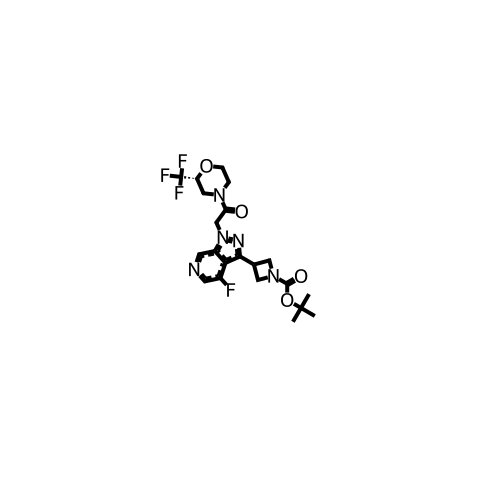 CC(C)(C)OC(=O)N1CC(c2nn(CC(=O)N3CCO[C@@H](C(F)(F)F)C3)c3cncc(F)c23)C1